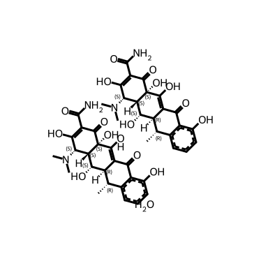 C[C@H]1c2cccc(O)c2C(=O)C2=C(O)[C@]3(O)C(=O)C(C(N)=O)=C(O)[C@@H](N(C)C)[C@H]3[C@@H](O)[C@@H]21.C[C@H]1c2cccc(O)c2C(=O)C2=C(O)[C@]3(O)C(=O)C(C(N)=O)=C(O)[C@@H](N(C)C)[C@H]3[C@@H](O)[C@@H]21.O